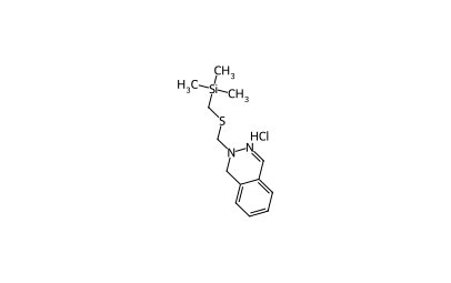 C[Si](C)(C)CSCN1Cc2ccccc2C=N1.Cl